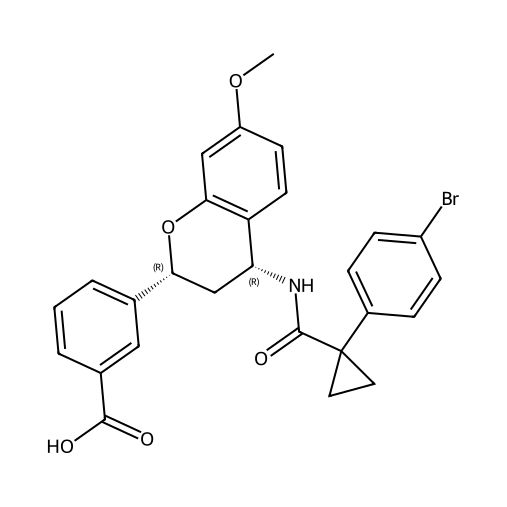 COc1ccc2c(c1)O[C@@H](c1cccc(C(=O)O)c1)C[C@H]2NC(=O)C1(c2ccc(Br)cc2)CC1